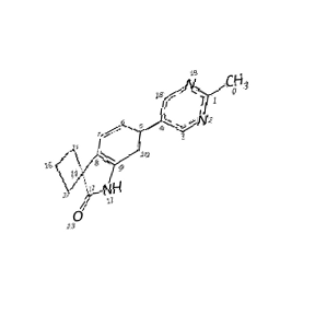 Cc1ncc(C2C=CC3=C(C2)NC(=O)C32CCC2)cn1